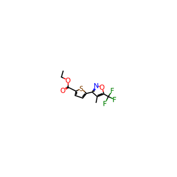 CCOC(=O)c1ccc(-c2noc(C(F)(F)F)c2C)s1